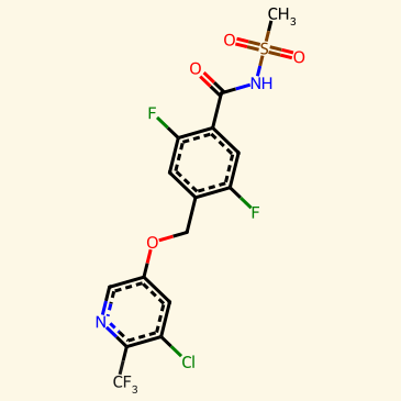 CS(=O)(=O)NC(=O)c1cc(F)c(COc2cnc(C(F)(F)F)c(Cl)c2)cc1F